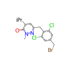 CC(C)c1cc(Cc2c(Cl)cc(CBr)cc2Cl)nn(C)c1=O